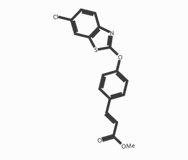 COC(=O)/C=C/c1ccc(Oc2nc3ccc(Cl)cc3s2)cc1